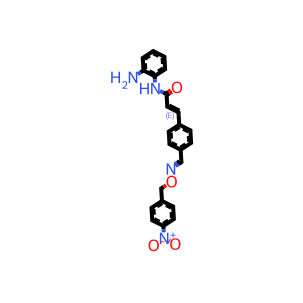 Nc1ccccc1NC(=O)/C=C/c1ccc(C=NOCc2ccc([N+](=O)[O-])cc2)cc1